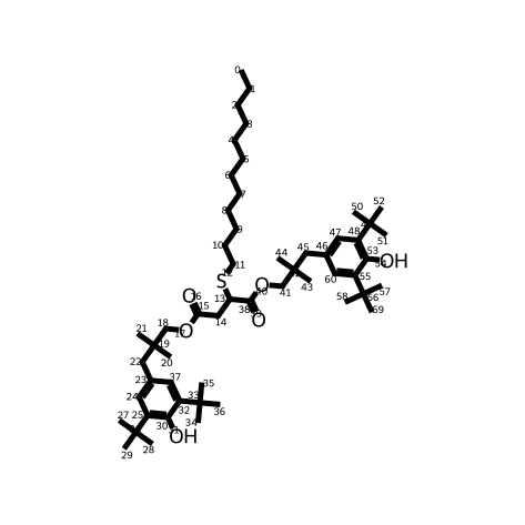 CCCCCCCCCCCCSC(CC(=O)OCC(C)(C)Cc1cc(C(C)(C)C)c(O)c(C(C)(C)C)c1)C(=O)OCC(C)(C)Cc1cc(C(C)(C)C)c(O)c(C(C)(C)C)c1